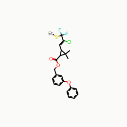 CCSC(F)(F)C(Cl)=CC1C(C(=O)OCc2cccc(Oc3ccccc3)c2)C1(C)C